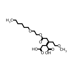 CCCCCCOCCOC(=O)CC(CCOC)=C(CC(=O)O)C(=O)O